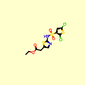 CCOC(=O)Cc1cnc(NS(=O)(=O)c2cc(Cl)sc2Cl)s1